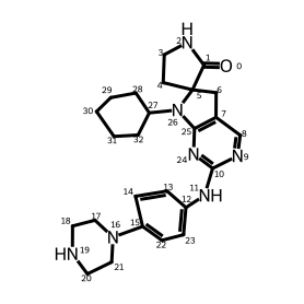 O=C1NCCC12Cc1cnc(Nc3ccc(N4CCNCC4)cc3)nc1N2C1CCCCC1